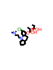 CCC(=O)O.CCC(=O)O.CN(C)CCCN1c2ccccc2CCc2ccc(Cl)cc21